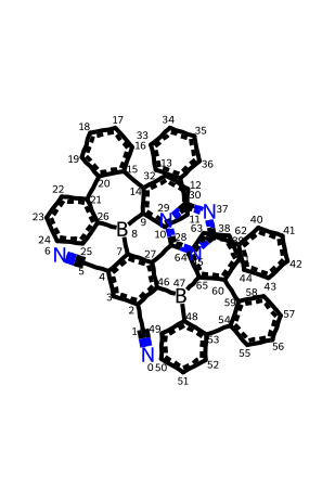 N#Cc1cc(C#N)c(B2c3ccccc3-c3ccccc3-c3ccccc32)c(-c2nc(-c3ccccc3)nc(-c3ccccc3)n2)c1B1c2ccccc2-c2ccccc2-c2ccccc21